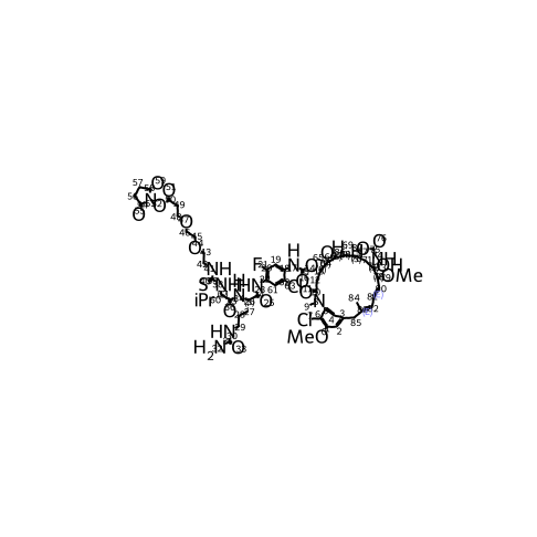 COc1cc2cc(c1Cl)N(C)C(=O)C[C@H](OC(=O)Nc1cc(F)c(NC(=O)[C@H](CCCNC(N)=O)NC(=O)[C@@H](NC(=S)NCCOCCOCCC(=O)ON3C(=O)CCC3=O)C(C)C)cc1Cl)[C@]1(C)O[C@H]1[C@H](C)[C@@H]1C[C@@](O)(NC(=O)O1)[C@H](OC)/C=C/C=C(\C)C2